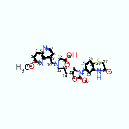 COc1ccc2nccc(CN(CCC[C@@H]3CN(c4ccc5c(c4)NC(=O)CS5)C(=O)O3)CC(=O)O)c2n1